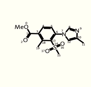 COC(=O)c1ccc(-n2cnc(C)c2)c(S(C)(=O)=O)c1C